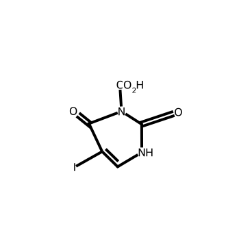 O=C(O)n1c(=O)[nH]cc(I)c1=O